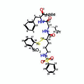 CNC(=O)[C@H](Cc1ccccc1)NC(=O)[C@H](CC(C)C)NC(=O)C(CCCNS(=O)(=O)c1ccccc1)SSc1ccccc1[N+](=O)[O-]